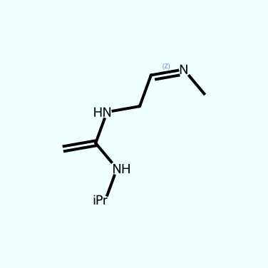 C=C(NC/C=N\C)NC(C)C